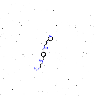 NCCCNCc1ccc(CNC/C=C/c2cccnc2)cc1